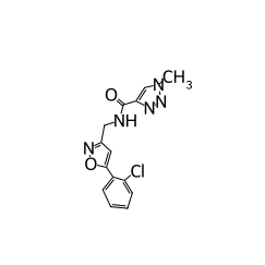 Cn1cc(C(=O)NCc2cc(-c3ccccc3Cl)on2)nn1